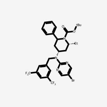 CC[C@@H]1C[C@H](N(Cc2cc(C(F)(F)F)cc(C(F)(F)F)c2)c2ncc(Br)cn2)CC(c2ccccc2)N1C(=O)OC(C)(C)C